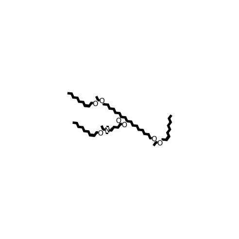 CCCCCC/C=C\COC(C)OCCCCCCCCC(CCCCCCCCOC(C)OC/C=C\CCCCCC)OC(=O)CCC[N+](C)(C)C(C)OC/C=C\CCCCCC